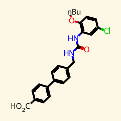 CCCCOc1ccc(Cl)cc1NC(=O)NCc1ccc(-c2ccc(C(=O)O)cc2)cc1